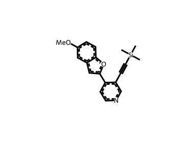 COc1ccc2oc(-c3ccncc3C#C[Si](C)(C)C)cc2c1